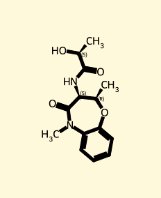 C[C@H](O)C(=O)N[C@@H]1C(=O)N(C)c2ccccc2O[C@@H]1C